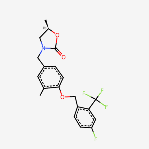 Cc1cc(CN2C[C@@H](C)OC2=O)ccc1OCc1ccc(F)cc1C(F)(F)F